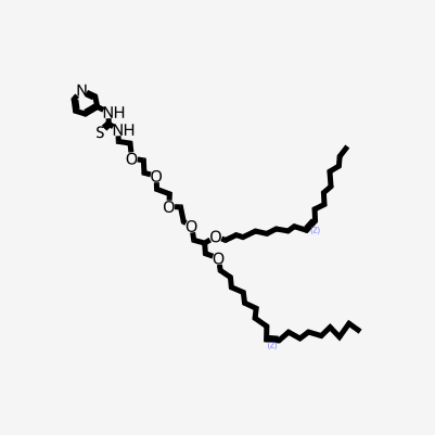 CCCCCCCC/C=C\CCCCCCCCOCC(COCCOCCOCCOCCNC(=S)Nc1cccnc1)OCCCCCCCC/C=C\CCCCCCCC